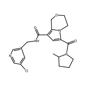 CC1CCCN1C(=O)c1cc(C(=O)NCc2cncc(Cl)c2)c2n1CCOC2